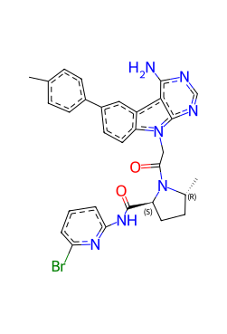 Cc1ccc(-c2ccc3c(c2)c2c(N)ncnc2n3CC(=O)N2[C@H](C)CC[C@H]2C(=O)Nc2cccc(Br)n2)cc1